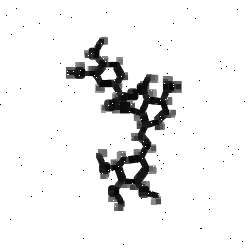 COc1ccc(S(=O)(=O)Nc2c(C=Cc3cc(OC)c(OC)c(OC)c3)ccc(O)c2OC)cc1O